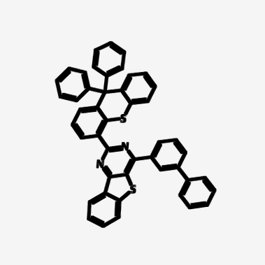 c1ccc(-c2cccc(-c3nc(-c4cccc5c4Sc4ccccc4C5(c4ccccc4)c4ccccc4)nc4c3sc3ccccc34)c2)cc1